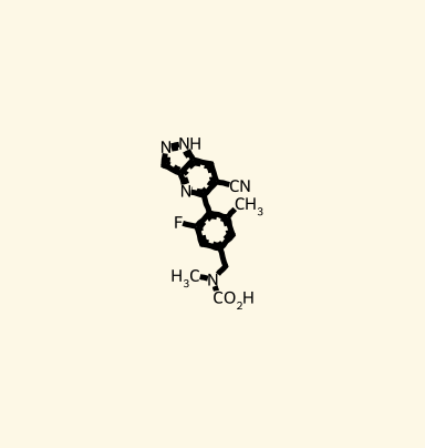 Cc1cc(CN(C)C(=O)O)cc(F)c1-c1nc2cn[nH]c2cc1C#N